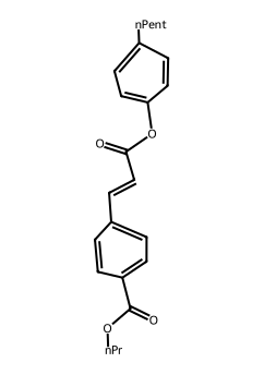 [CH2]CCOC(=O)c1ccc(/C=C/C(=O)Oc2ccc(CCCCC)cc2)cc1